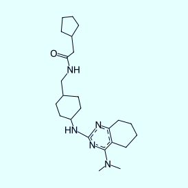 CN(C)c1nc(NC2CCC(CNC(=O)CC3CCCC3)CC2)nc2c1CCCC2